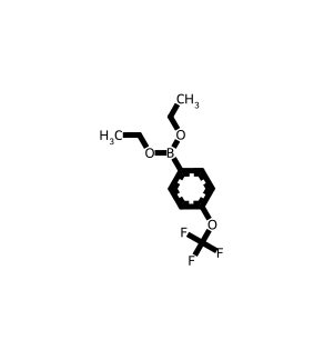 CCOB(OCC)c1ccc(OC(F)(F)F)cc1